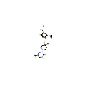 COC(=O)c1cc(C2CC2)c(OCC2(C#N)CCN(N3CC(C(F)(F)F)CC(Cl)C3F)CC2)cc1F